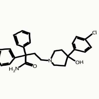 NC(=O)C(CCN1CCC(O)(c2ccc(Cl)cc2)CC1)(c1ccccc1)c1ccccc1